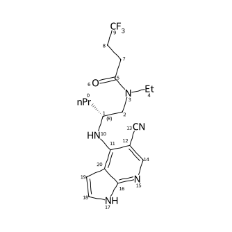 CCC[C@H](CN(CC)C(=O)CCC(F)(F)F)Nc1c(C#N)cnc2[nH]ccc12